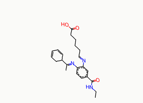 CCNC(=O)c1ccc(/N=C(\C)C2C=CC=CC2)c(/N=C/CCCCC(=O)O)c1